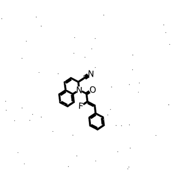 N#CC1C=Cc2ccccc2N1C(=O)/C(F)=C/c1ccccc1